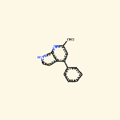 O=Cc1cc(-c2ccccc2)c2cc[nH]c2n1